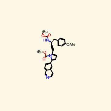 COc1ccc(C[C@@H](C#Cc2ccc(-c3ccc4cnccc4c3)n2C(=O)OC(C)(C)C)NC(=O)OC(C)(C)C)cc1